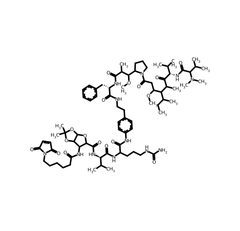 CCC(C)C(C(CC(=O)N1CCCC1C(OC)C(C)C(=O)N[C@@H](Cc1ccccc1)C(=O)NCCc1ccc(NC(=O)C(CCCNC(N)=O)NC(=O)[C@H](NC(=O)C2OC3OC(C)(C)OC3C2NC(=O)CCCCCN2C(=O)C=CC2=O)C(C)C)cc1)OC)C(C)C(=O)[C@@H](NC(=O)C(C(C)C)N(C)C)C(C)C